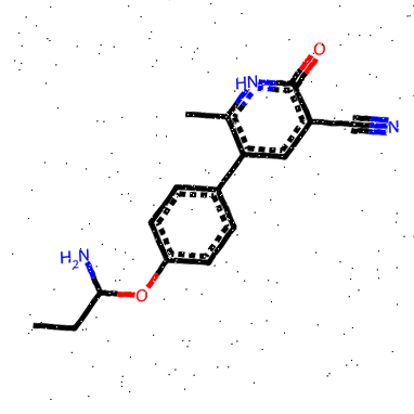 CCC(N)Oc1ccc(-c2cc(C#N)c(=O)[nH]c2C)cc1